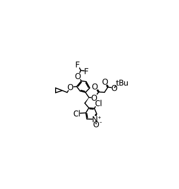 CC(C)(C)OC(=O)CC(=O)O[C@@H](Cc1c(Cl)c[n+]([O-])cc1Cl)c1ccc(OC(F)F)c(OCC2CC2)c1